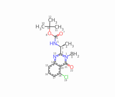 Bn1c([C@H](C)NC(=O)OC(C)(C)C)nc2cccc(Cl)c2c1=O